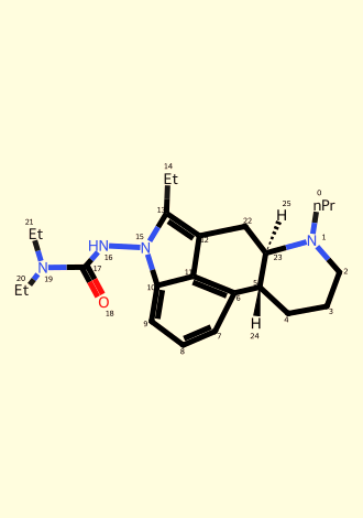 CCCN1CCC[C@@H]2c3cccc4c3c(c(CC)n4NC(=O)N(CC)CC)C[C@H]21